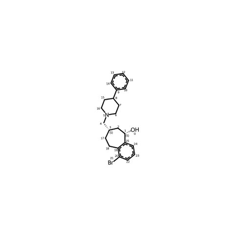 O[C@H]1C[C@@H](CN2CCC(c3ccccc3)CC2)CCc2c(Br)cccc21